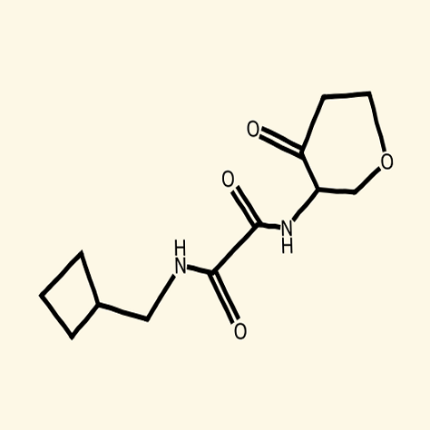 O=C(NCC1CCC1)C(=O)NC1COCCC1=O